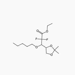 CCCCCOC(C1COC(C)(C)O1)C(F)(F)C(=O)OCC